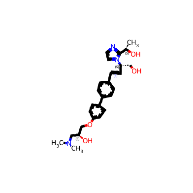 C[C@H](O)c1nccn1[C@@H](/C=C/c1ccc(-c2ccc(OC[C@@H](O)CN(C)C)cc2)cc1)CO